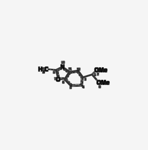 COC(OC)c1ccc2oc(C)nc2c1